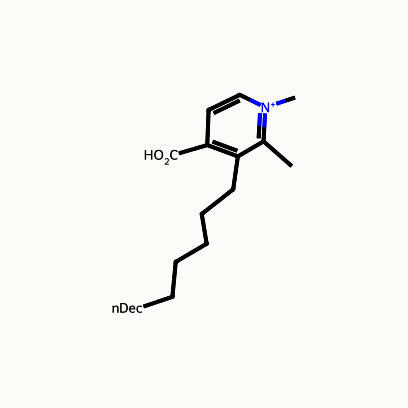 CCCCCCCCCCCCCCCc1c(C(=O)O)cc[n+](C)c1C